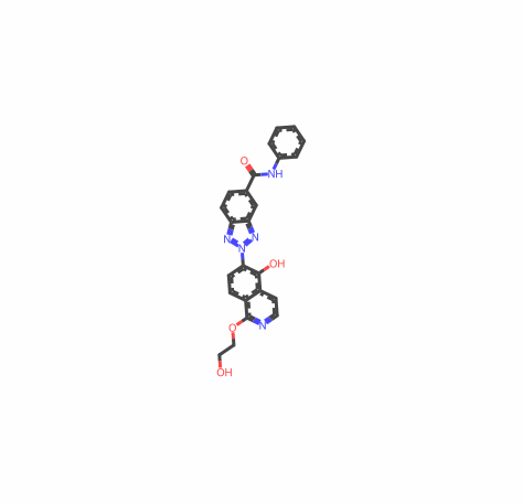 O=C(Nc1ccccc1)c1ccc2nn(-c3ccc4c(OCCO)nccc4c3O)nc2c1